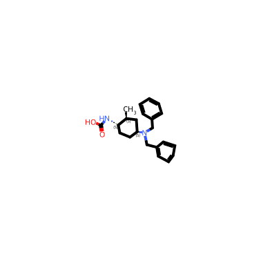 C[C@H]1C[C@@H](N(Cc2ccccc2)Cc2ccccc2)CC[C@@H]1NC(=O)O